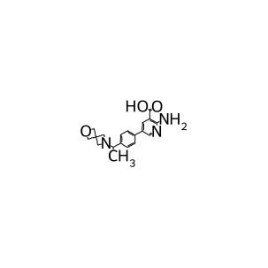 CC(c1ccc(-c2cnc(N)c(C(=O)O)c2)cc1)N1CC2(COC2)C1